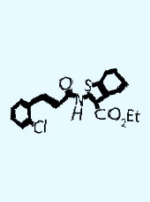 CCOC(=O)c1c(NC(=O)C=Cc2ccccc2Cl)sc2c1CCCC2